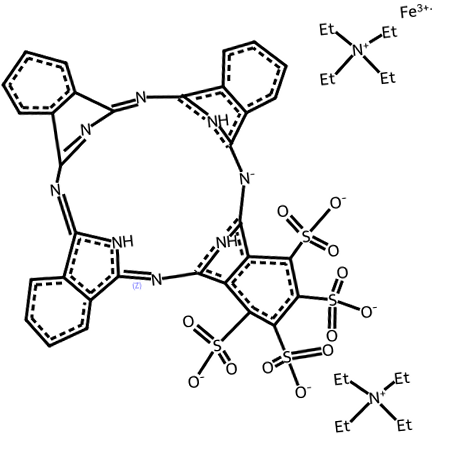 CC[N+](CC)(CC)CC.CC[N+](CC)(CC)CC.O=S(=O)([O-])c1c(S(=O)(=O)[O-])c(S(=O)(=O)[O-])c2c3[nH]c(c2c1S(=O)(=O)[O-])/N=c1\[nH]c(c2ccccc12)=NC1=NC(=Nc2[nH]c(c4ccccc24)[N-]3)c2ccccc21.[Fe+3]